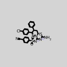 N#Cc1ccc(S(=O)(=O)/N=C(/N=C(/N)S)N2CCC(c3ccccc3)C(c3ccc(Cl)cc3)=N2)cc1